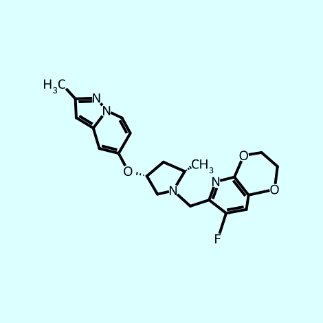 Cc1cc2cc(O[C@@H]3C[C@H](C)N(Cc4nc5c(cc4F)OCCO5)C3)ccn2n1